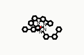 c1ccc(-c2ccc(-c3nc(-c4cccc(-c5cccc(-c6ccccc6)c5)c4)nc(-n4c5ccccc5c5ccc6c7ccccc7n(-c7ccccc7-c7ccccc7)c6c54)n3)cc2)cc1